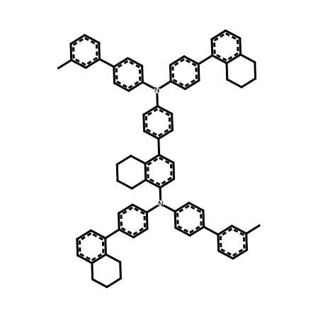 Cc1cccc(-c2ccc(N(c3ccc(-c4cccc5c4CCCC5)cc3)c3ccc(-c4ccc(N(c5ccc(-c6cccc(C)c6)cc5)c5ccc(-c6cccc7c6CCCC7)cc5)c5c4CCCC5)cc3)cc2)c1